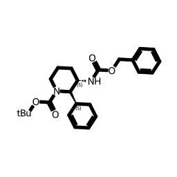 CC(C)(C)OC(=O)N1CCC[C@H](NC(=O)OCc2ccccc2)C1[C@@H]1C=CC=CC1